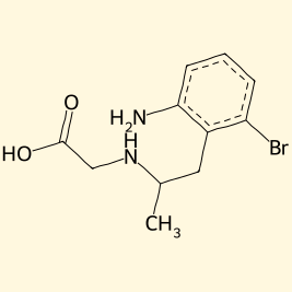 CC(Cc1c(N)cccc1Br)NCC(=O)O